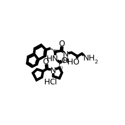 Cl.NCC(O)CNC(=O)[C@@H](Cc1ccc2ccccc2c1)NC(=O)[C@@H]1CCCN1C(=O)C1CCCC1